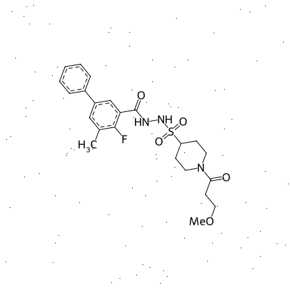 COCCC(=O)N1CCC(S(=O)(=O)NNC(=O)c2cc(-c3ccccc3)cc(C)c2F)CC1